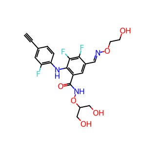 C#Cc1ccc(Nc2c(C(=O)NOC(CO)CO)cc(/C=N/OCCO)c(F)c2F)c(F)c1